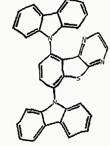 c1ccc2c(c1)c1ccccc1n2-c1ccc(-n2c3ccccc3c3ccccc32)c2c1sc1nccnc12